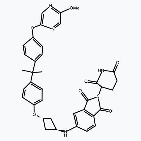 COc1cnc(Oc2ccc(C(C)(C)c3ccc(O[C@H]4C[C@H](Nc5ccc6c(c5)C(=O)N(C5CCC(=O)NC5=O)C6=O)C4)cc3)cc2)cn1